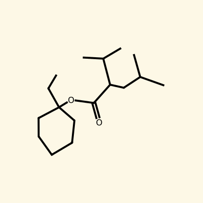 CCC1(OC(=O)C(CC(C)C)C(C)C)CCCCC1